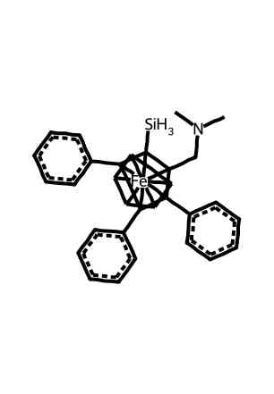 CN(C)C[C]12[C]3([SiH3])[C]4(c5ccccc5)[C]5(c6ccccc6)[C]1(c1ccccc1)[Fe]32451678[CH]2[CH]1[CH]6[CH]7[CH]28